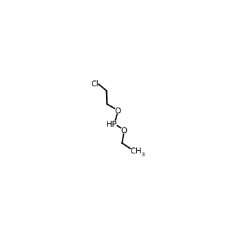 CCOPOCCCl